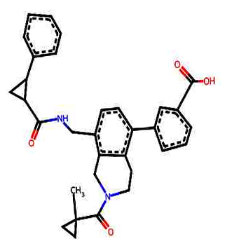 CC1(C(=O)N2CCc3c(-c4cccc(C(=O)O)c4)ccc(CNC(=O)C4CC4c4ccccc4)c3C2)CC1